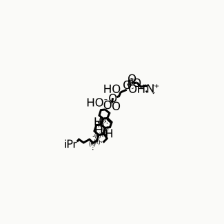 CC(C)CCC[C@@H](C)[C@H]1CC[C@H]2[C@@H]3CC=C4CC(OC(=O)OCC(O)COP(=O)(O)OCC[N+](C)(C)C)CC[C@]4(C)[C@H]3CC[C@]12C.[OH-]